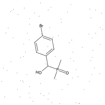 CP(C)(=O)C(O)c1ccc(Br)cc1